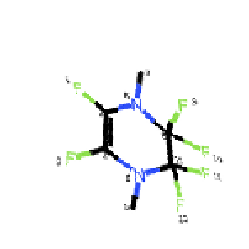 CN1C(F)=C(F)N(C)C(F)(F)C1(F)F